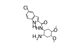 COC1CC(N)C(NC(=O)c2cc3cc(Cl)ccc3[nH]2)C[C@H]1OC